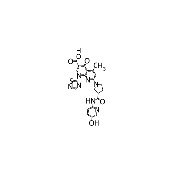 Cc1cc(N2CCC(C(=O)Nc3ccc(O)cn3)C2)nc2c1c(=O)c(C(=O)O)cn2-c1ncns1